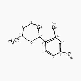 CC1CCOC(c2ccc(Cl)cc2Br)C1